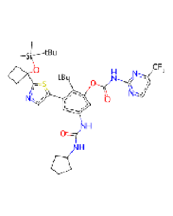 CC(C)(C)c1c(OC(=O)Nc2nccc(C(F)(F)F)n2)cc(NC(=O)NC2CCCC2)cc1-c1cnc(C2(O[Si](C)(C)C(C)(C)C)CCC2)s1